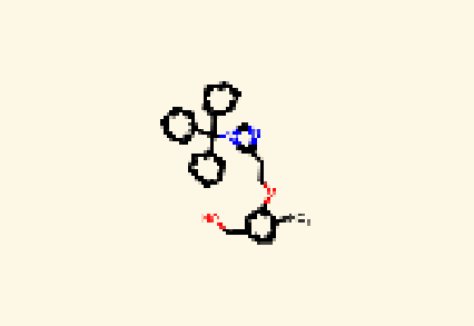 O=[N+]([O-])c1ccc(CO)cc1OCCc1cn(C(c2ccccc2)(c2ccccc2)c2ccccc2)cn1